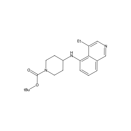 CCc1cncc2cccc(NC3CCN(C(=O)OC(C)(C)C)CC3)c12